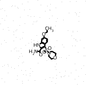 CCOc1ccc2c(S(=O)(=O)N3CCOCC3)c(C(N)=O)[nH]c2c1